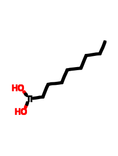 CCCCCCC[CH2][Ti]([OH])[OH]